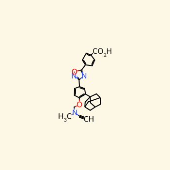 C#CN(C)COc1ccc(-c2noc(-c3ccc(C(=O)O)cc3)n2)cc1C12CC3CC(CC(C3)C1)C2